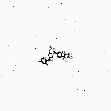 COC[C@@H]1C[C@H](Nc2ncc(C)cc2C)CN1C(=O)c1ccc(C2(C)NC(=O)NC2=O)cc1